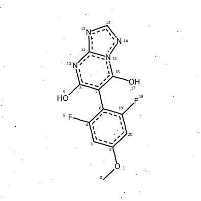 COc1cc(F)c(-c2c(O)nc3ncnn3c2O)c(F)c1